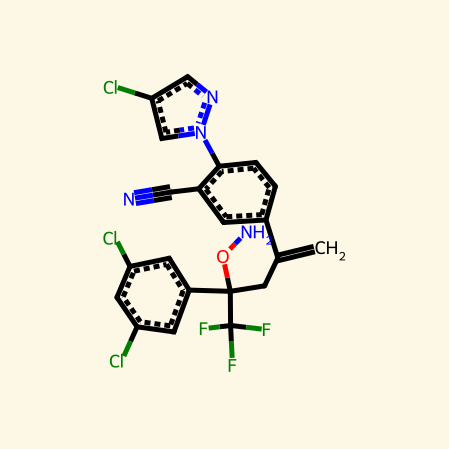 C=C(CC(ON)(c1cc(Cl)cc(Cl)c1)C(F)(F)F)c1ccc(-n2cc(Cl)cn2)c(C#N)c1